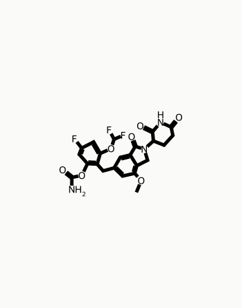 COc1cc(Cc2c(OC(N)=O)cc(F)cc2OC(F)F)cc2c1CN(C1CCC(=O)NC1=O)C2=O